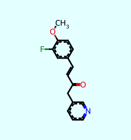 COc1ccc(C=CC(=O)Cc2cccnc2)cc1F